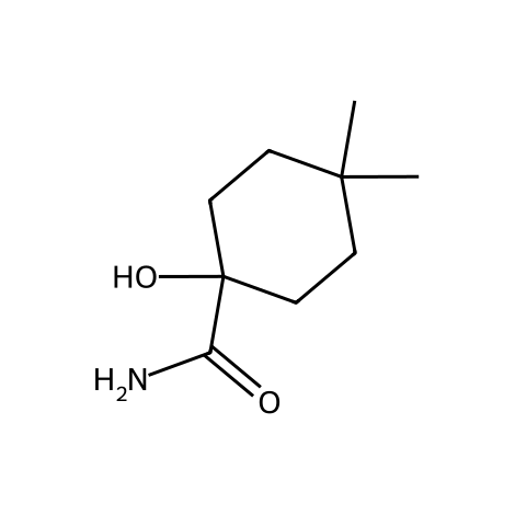 CC1(C)CCC(O)(C(N)=O)CC1